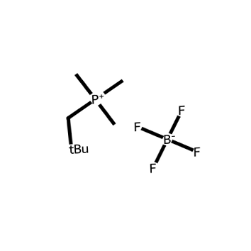 CC(C)(C)C[P+](C)(C)C.F[B-](F)(F)F